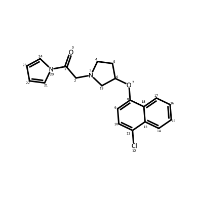 O=C(CN1CCC(Oc2ccc(Cl)c3ccccc23)C1)n1cccc1